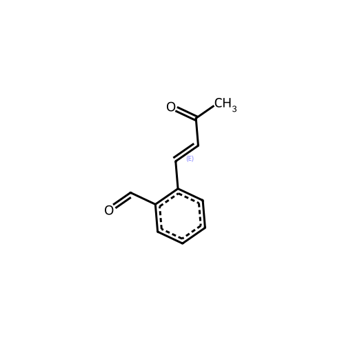 CC(=O)/C=C/c1ccccc1C=O